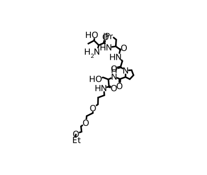 CCOCCOCCOCCCNC(=O)C(CO)NC(=O)C1CCCN1C(=O)CNC(=O)C(CC(C)C)NC(=O)C(N)C(C)O